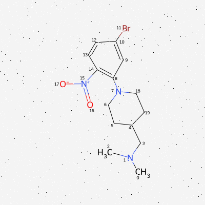 CN(C)CC1CCN(c2cc(Br)ccc2[N+](=O)[O-])CC1